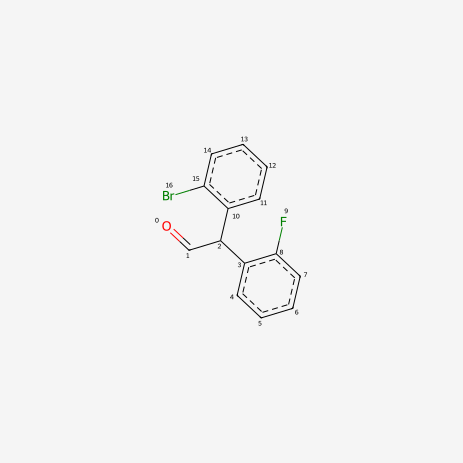 O=CC(c1ccccc1F)c1ccccc1Br